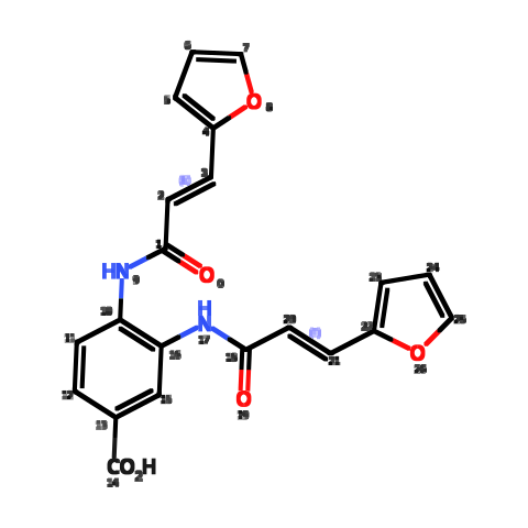 O=C(/C=C/c1ccco1)Nc1ccc(C(=O)O)cc1NC(=O)/C=C/c1ccco1